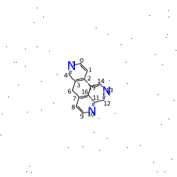 c1cc2c(cn1)Cc1ccnc3cncc-2c13